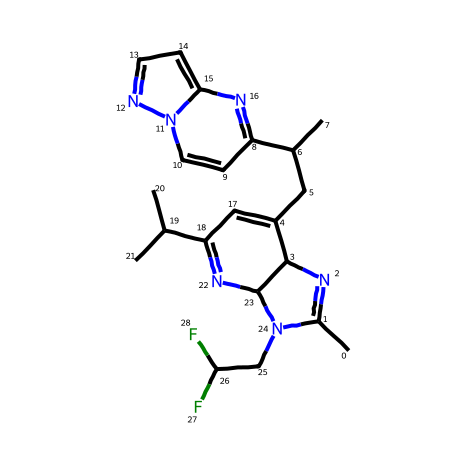 CC1=NC2C(CC(C)c3ccn4nccc4n3)=CC(C(C)C)=NC2N1CC(F)F